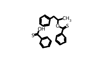 CC(Cc1ccccc1)OC(=S)c1ccccc1.OC(=S)c1ccccc1